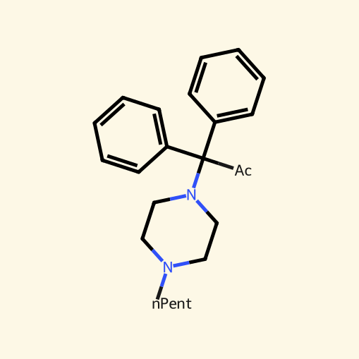 CCCCCN1CCN(C(C(C)=O)(c2ccccc2)c2ccccc2)CC1